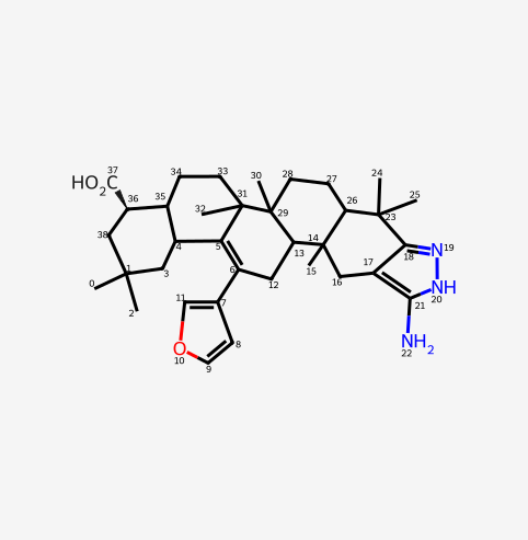 CC1(C)CC2C3=C(c4ccoc4)CC4C5(C)Cc6c(n[nH]c6N)C(C)(C)C5CCC4(C)C3(C)CCC2[C@H](C(=O)O)C1